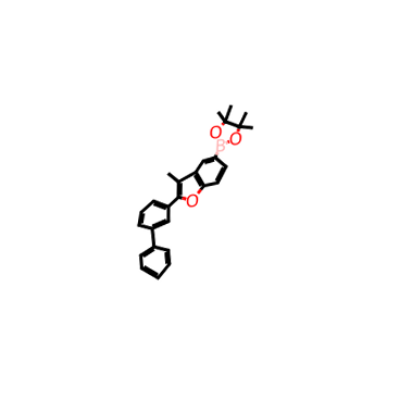 Cc1c(-c2cccc(-c3ccccc3)c2)oc2ccc(B3OC(C)(C)C(C)(C)O3)cc12